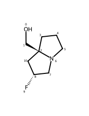 OC[C@@]12CCCN1C[C@H](F)C2